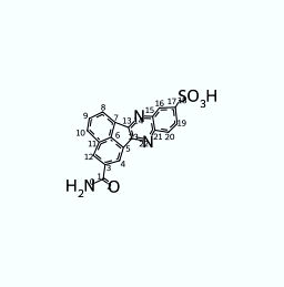 NC(=O)c1cc2c3c(cccc3c1)-c1nc3cc(S(=O)(=O)O)ccc3nc1-2